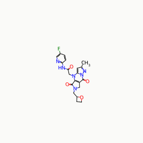 Cc1cc2n(CC(=O)Nc3ccc(F)cn3)c3c(c(=O)n2n1)CN(CC1CCO1)C3=O